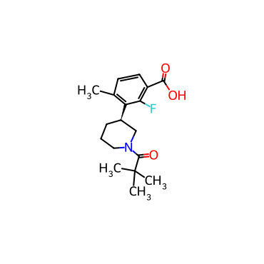 Cc1ccc(C(=O)O)c(F)c1[C@@H]1CCCN(C(=O)C(C)(C)C)C1